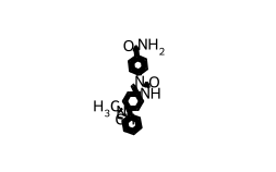 CN(C)C1(c2ccccc2)CCC2(CC1)CN(c1ccc(C(N)=O)cc1)C(=O)N2